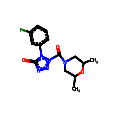 CC1CN(C(=O)n2nnc(=O)n2-c2cccc(F)c2)CC(C)O1